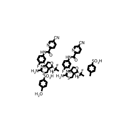 CC(F)(F)[C@H]1OC[C@]2(c3cc(NC(=O)c4ccc(C#N)cn4)ccc3F)N=C(N)SC[C@H]12.CC(F)(F)[C@H]1OC[C@]2(c3cc(NC(=O)c4ccc(C#N)cn4)ccc3F)N=C(N)SC[C@H]12.Cc1ccc(S(=O)(=O)O)cc1.Cc1ccc(S(=O)(=O)O)cc1.O